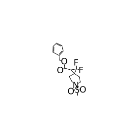 CS(=O)(=O)N1CCC2(CC1)C(C(=O)OCc1ccccc1)C2(F)F